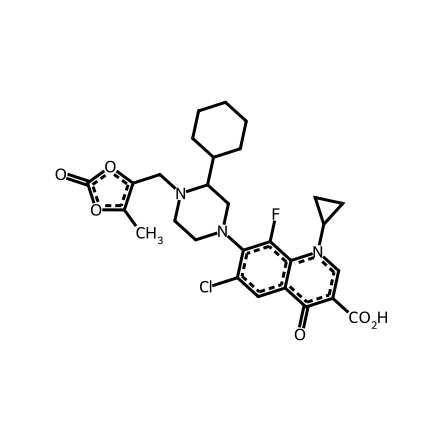 Cc1oc(=O)oc1CN1CCN(c2c(Cl)cc3c(=O)c(C(=O)O)cn(C4CC4)c3c2F)CC1C1CCCCC1